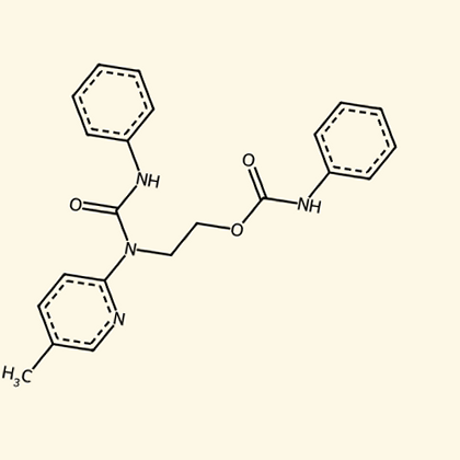 Cc1ccc(N(CCOC(=O)Nc2ccccc2)C(=O)Nc2ccccc2)nc1